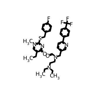 CCN(CC)CCN(C=O)Cc1ccc(-c2ccc(C(F)(F)F)cc2)nc1.CCc1cn(C)c(SCc2ccc(F)cc2)nc1=O